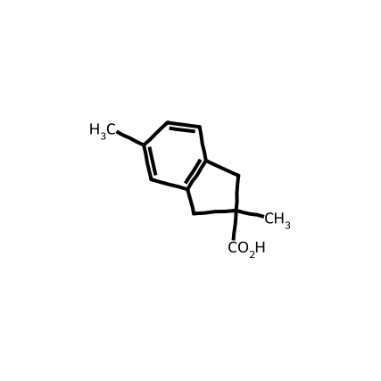 Cc1ccc2c(c1)CC(C)(C(=O)O)C2